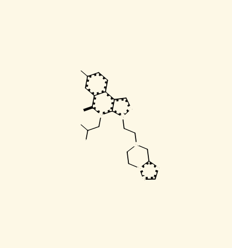 Cc1ccc2c(c1)c(=O)n(CC(F)F)c1c2cnn1CCN1CCn2ncnc2C1